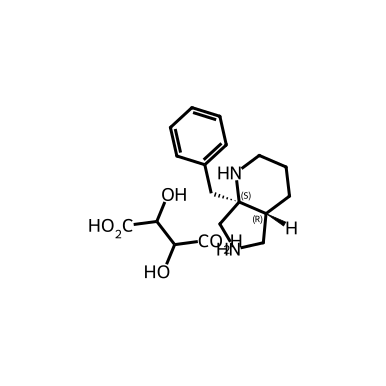 O=C(O)C(O)C(O)C(=O)O.c1ccc(C[C@@]23CNC[C@H]2CCCN3)cc1